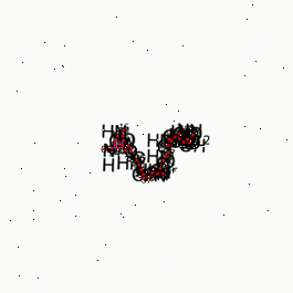 CCNC1=CC(=O)/C(=C(\c2ccc(NCC)c(C)c2)c2ccc(OCCCC(=O)NCCNC(=O)c3cccc(OCC(N=[N+]=[N-])OCCOCC(=O)NCC#Cc4cn(C5CC(OCN)C(COP(=O)(O)OP(=O)(O)OP(=O)(O)O)O5)c(=O)[nH]c4=O)c3)cc2C=O)C=C1C